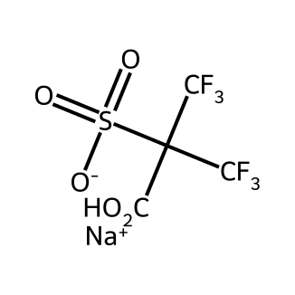 O=C(O)C(C(F)(F)F)(C(F)(F)F)S(=O)(=O)[O-].[Na+]